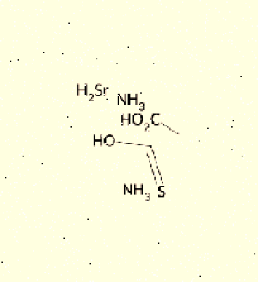 CC(=O)O.N.N.OC=S.[SrH2]